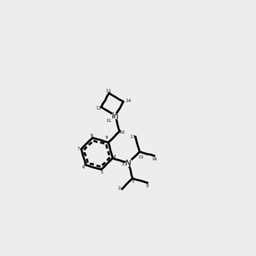 CC(C)N(c1ccccc1[CH2][In]1[CH2]C[CH2]1)C(C)C